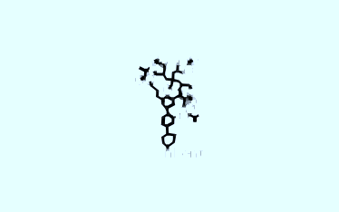 C=C(C)C(=O)OCCCc1cc(-c2ccc(C3CCC(CCCCC)CC3)cc2F)cc(CCCOC(=O)C(=C)C)c1OCC(CC1COC(=O)OC1)(CC1COC(=O)OC1)CC1COC(=O)OC1